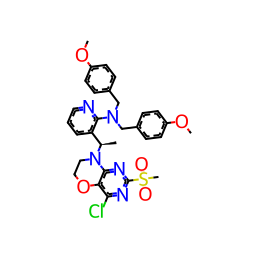 COc1ccc(CN(Cc2ccc(OC)cc2)c2ncccc2[C@@H](C)N2CCOc3c(Cl)nc(S(C)(=O)=O)nc32)cc1